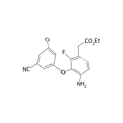 CCOC(=O)Cc1ccc(N)c(Oc2cc(Cl)cc(C#N)c2)c1F